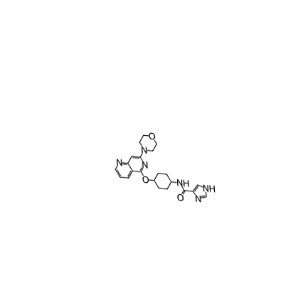 O=C(NC1CCC(Oc2nc(N3CCOCC3)cc3ncccc23)CC1)c1c[nH]cn1